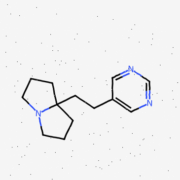 c1ncc(CCC23CCCN2CCC3)cn1